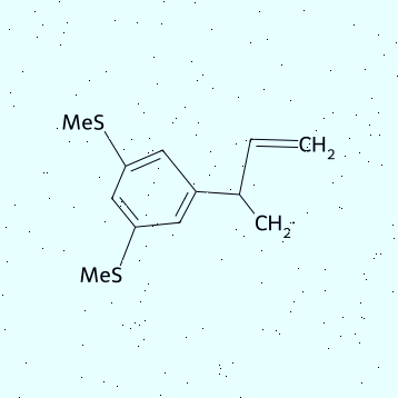 [CH2]C(C=C)c1cc(SC)cc(SC)c1